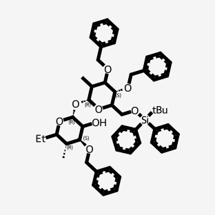 CCC1O[C@H](O[C@H]2OC(CO[Si](c3ccccc3)(c3ccccc3)C(C)(C)C)[C@@H](OCc3ccccc3)C(OCc3ccccc3)C2C)C(O)[C@@H](OCc2ccccc2)[C@@H]1C